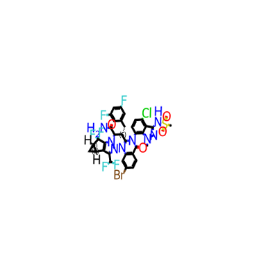 Cn1nc(NS(C)(=O)=O)c2c(Cl)ccc(-n3c([C@@H](Cc4cc(F)cc(F)c4)C(C(N)=O)n4nc(C(F)F)c5c4C(F)(F)[C@@H]4C[C@H]54)nc4cc(Br)ccc4c3=O)c21